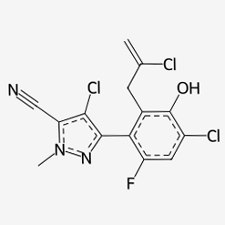 C=C(Cl)Cc1c(O)c(Cl)cc(F)c1-c1nn(C)c(C#N)c1Cl